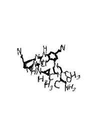 C[C@H]1CN(c2cc(C#N)cc(Nc3nc(NC4CC4)n4ncc(C#N)c4n3)c2Cl)C[C@H](C)N1[C@@H](C)C(N)=O